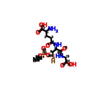 NC(CCC(=O)NC(CS)C(=O)NCC(=O)O)C(=O)O.O=S([O-])[O-].[Na+].[Na+]